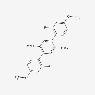 COc1cc(-c2ccc(OC(F)(F)F)cc2F)c(OC)cc1-c1ccc(OC(F)(F)F)cc1F